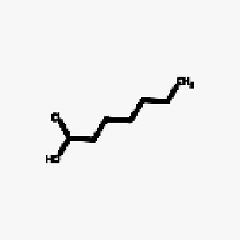 CCCCCCC(O)Cl